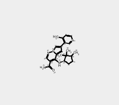 Cc1ccncc1-c1cc2c(N[C@@H]3CCC(C)C3(C)C)c(C(N)=O)cnn2c1